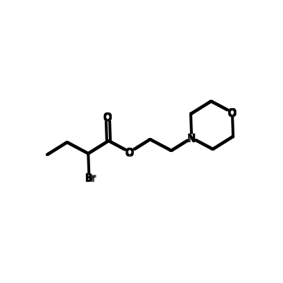 CCC(Br)C(=O)OCCN1CCOCC1